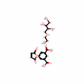 O=C(O)c1cccc(C(=O)O)c1.O=C1C=CC(=O)O1.OCCOCC(O)C(O)CO